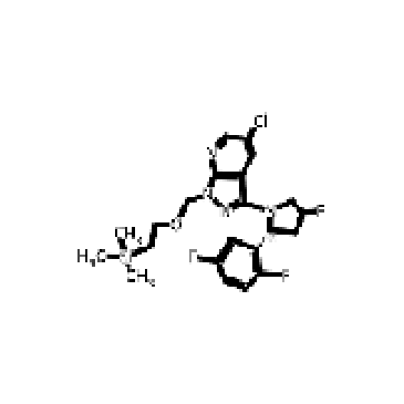 C[Si](C)(C)CCOCn1nc(N2CC(F)C[C@@H]2c2cc(F)ccc2F)c2cc(Cl)cnc21